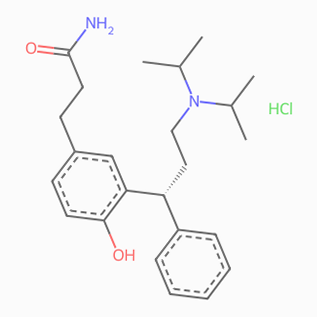 CC(C)N(CC[C@H](c1ccccc1)c1cc(CCC(N)=O)ccc1O)C(C)C.Cl